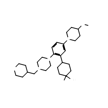 COC1CCN(c2ccc(N3CCN(CC4CCOCC4)CC3)c(C3CCC(C)(C)CC3)c2)CC1